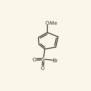 COc1ccc(S(=O)(=O)Br)cc1